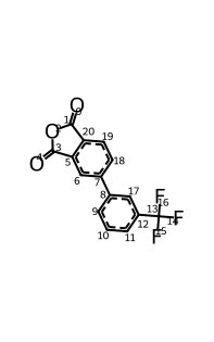 O=C1OC(=O)c2cc(-c3cccc(C(F)(F)F)c3)ccc21